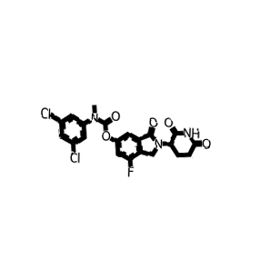 CN(C(=O)Oc1cc(F)c2c(c1)C(=O)N(C1CCC(=O)NC1=O)C2)c1cc(Cl)cc(Cl)c1